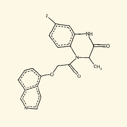 CC1C(=O)Nc2cc(F)ccc2N1C(=O)COc1cccc2cnccc12